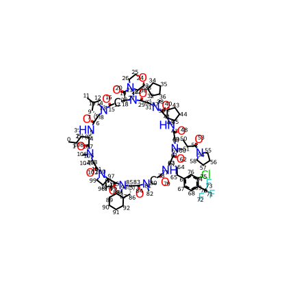 CC[C@H](C)[C@@H]1NC(=O)[C@H](CC(C)C)N(C)C(=O)C[C@@H](C(=O)N2CCOCC2)N(C)C(=O)[C@H](C2CCCC2)N(C)C(=O)C2(CCCC2)NC(=O)[C@H](CCC(=O)N2CCCC2)N(C)C(=O)[C@H](CCc2ccc(C(F)(F)F)c(Cl)c2)NC(=O)CN(C)C(=O)[C@H](CC2CCCCC2)N(C)C(=O)[C@@H]2CCN2C(=O)[C@H](C)N(C)C1=O